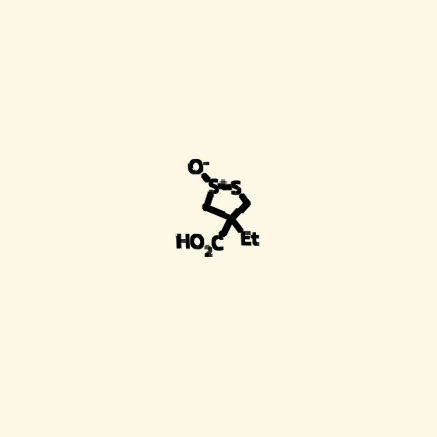 CCC1(C(=O)O)CS[S+]([O-])C1